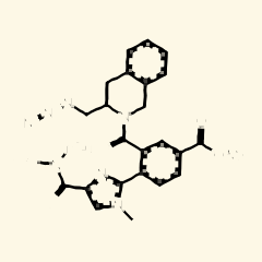 CCCCN(CCCC)C(=O)c1cn(C)c(-c2ccc(C(=O)OC)cc2C(=O)N2Cc3ccccc3CC2CN=[N+]=[N-])n1